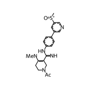 CNC1=C(C(=N)Nc2ccc(-c3cncc([S+](C)[O-])c3)cc2)CN(C(C)=O)CC1